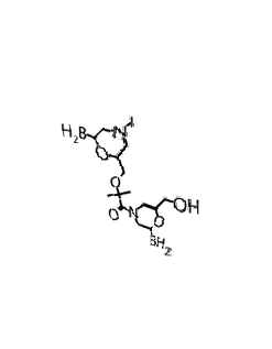 BC1CN(I)CC(COC(C)(C)C(=O)N2CC(B)OC(CO)C2)O1